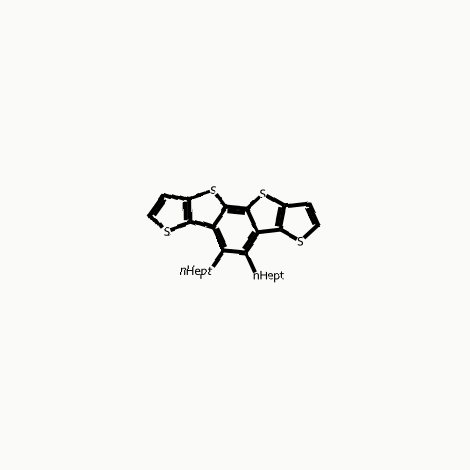 CCCCCCCc1c(CCCCCCC)c2c3sccc3sc2c2sc3ccsc3c12